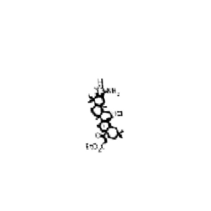 CCOC(=O)CC(=O)[C@]12CCC(C)(C)CC1C1=CCC3[C@@]4(C)Cc5c(n[nH]c5N)C(C)(C)C4CC[C@@]3(C)[C@]1(C)CC2.Cl